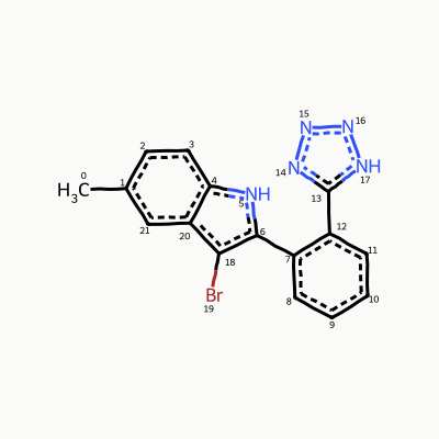 Cc1ccc2[nH]c(-c3ccccc3-c3nnn[nH]3)c(Br)c2c1